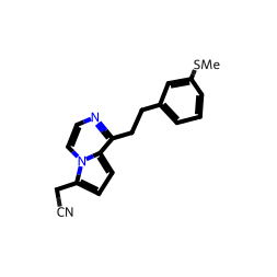 CSc1cccc(CCc2nccn3c(CC#N)ccc23)c1